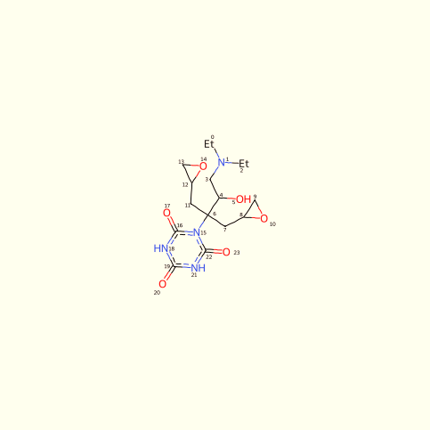 CCN(CC)CC(O)C(CC1CO1)(CC1CO1)n1c(=O)[nH]c(=O)[nH]c1=O